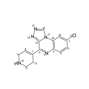 Clc1ccc2nc(C3=CCNCC3)c3nncn3c2c1